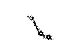 C=CC(=O)OCCCCCCOc1ccc(C(=O)Sc2ccc(Br)cc2)cc1